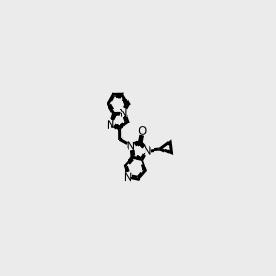 O=c1n(Cc2cn3ccccc3n2)c2cnccc2n1C1CC1